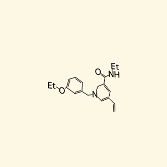 C=CC1=CN(Cc2cccc(OCC)c2)CC(C(=O)NCC)=C1